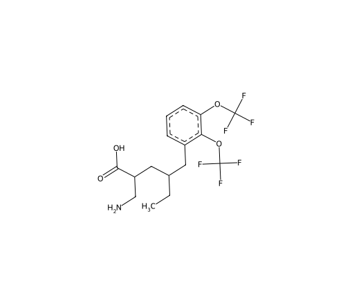 CCC(Cc1cccc(OC(F)(F)F)c1OC(F)(F)F)CC(CN)C(=O)O